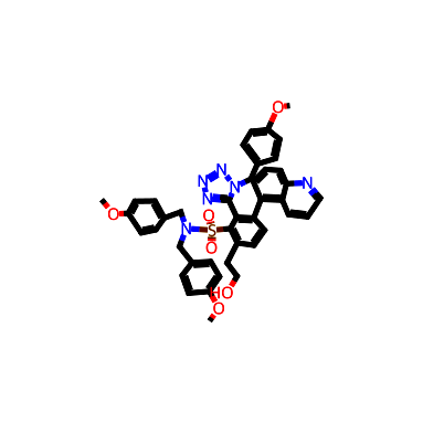 COc1ccc(CN(Cc2ccc(OC)cc2)S(=O)(=O)c2c(CCO)ccc(-c3cccc4ncccc34)c2-c2nnnn2Cc2ccc(OC)cc2)cc1